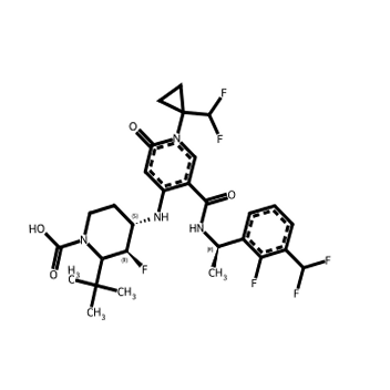 C[C@@H](NC(=O)c1cn(C2(C(F)F)CC2)c(=O)cc1N[C@H]1CCN(C(=O)O)C(C(C)(C)C)[C@@H]1F)c1cccc(C(F)F)c1F